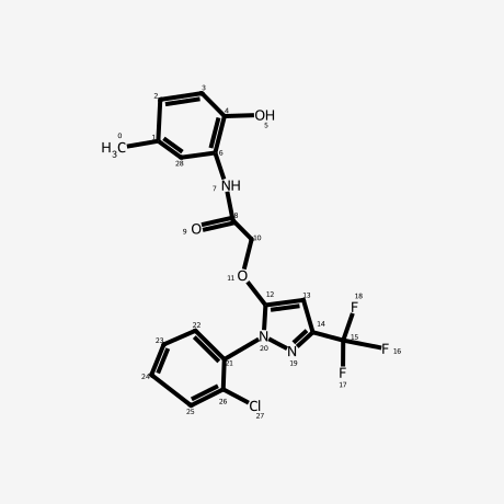 Cc1ccc(O)c(NC(=O)COc2cc(C(F)(F)F)nn2-c2ccccc2Cl)c1